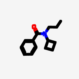 CCCN(C(=O)c1ccccc1)C1CCC1